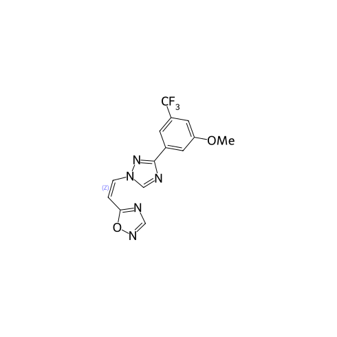 COc1cc(-c2ncn(/C=C\c3ncno3)n2)cc(C(F)(F)F)c1